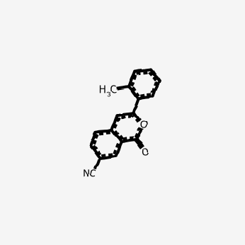 Cc1ccccc1-c1cc2ccc(C#N)cc2c(=O)o1